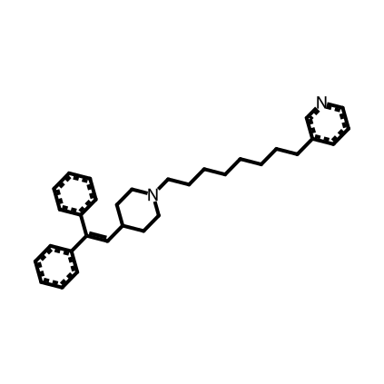 C(=C(c1ccccc1)c1ccccc1)C1CCN(CCCCCCCCc2cccnc2)CC1